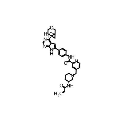 C=CC(=O)N[C@@H]1CCCN(Cc2ccnc(C(=O)Nc3ccc(-c4cc5c([C@@]67CCOCC6(C)C7)ncnc5[nH]4)cc3)c2)C1